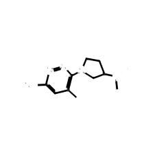 Cc1cc(C#N)nnc1N1CCC([S+](C)[O-])C1